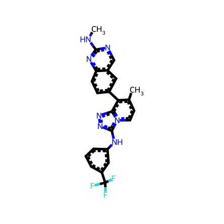 CNc1ncc2cc(-c3c(C)ccn4c(Nc5cccc(C(F)(F)F)c5)nnc34)ccc2n1